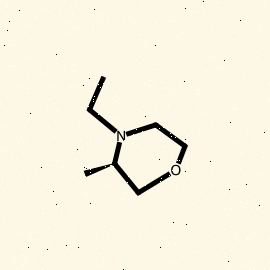 CCN1CCOC[C@H]1C